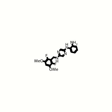 COc1cc(OC)c(F)c(CNc2cnc(Nc3ccccc3N)cn2)c1F